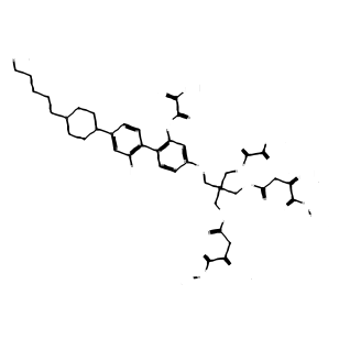 C=C(C)C(=O)OCC(COC(=O)CC(=C)C(=O)OC)(COC(=O)CC(=C)C(=O)OC)COc1ccc(-c2ccc(C3CCC(CCCCCC)CC3)cc2F)c(OC(=O)C(=C)C)c1